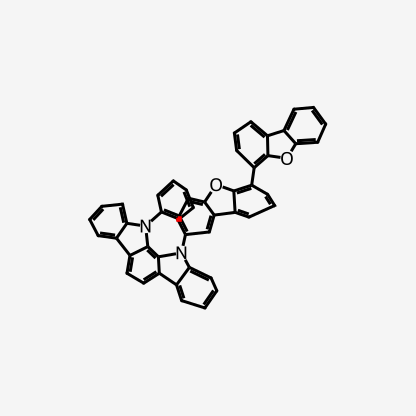 c1ccc(-n2c3ccccc3c3ccc4c5ccccc5n(-c5ccc6oc7c(-c8cccc9c8oc8ccccc89)cccc7c6c5)c4c32)cc1